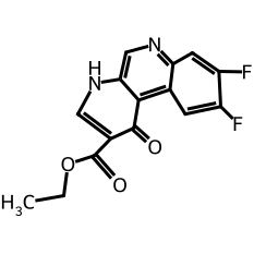 CCOC(=O)c1c[nH]c2cnc3cc(F)c(F)cc3c2c1=O